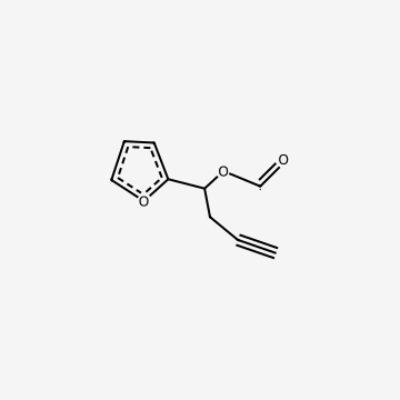 C#CCC(O[C]=O)c1ccco1